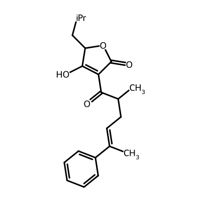 CC(=CCC(C)C(=O)C1=C(O)C(CC(C)C)OC1=O)c1ccccc1